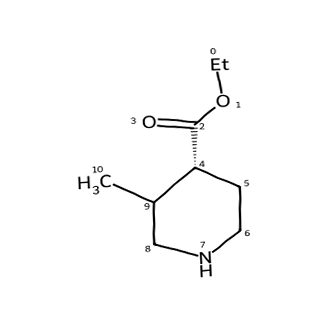 CCOC(=O)[C@@H]1CCNCC1C